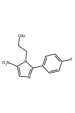 CC(=O)OCCn1c([N+](=O)[O-])cnc1-c1ccc(F)cc1